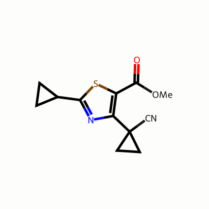 COC(=O)c1sc(C2CC2)nc1C1(C#N)CC1